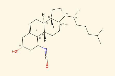 CC(C)CCC[C@@H](C)[C@H]1CC[C@H]2[C@@H]3CC=C4C[C@@H](O)CC(N=C=O)[C@]4(C)[C@H]3CC[C@]12C